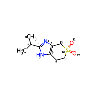 CC(C)c1nc2c([nH]1)CCS(=O)(=O)C2